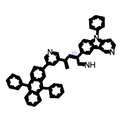 C=C(/C=C(\C=N)c1ccc2c(c1)c1cnccc1n2-c1ccccc1)c1cncc(-c2ccc3c(-c4ccccc4)c4ccccc4c(-c4ccccc4)c3c2)c1